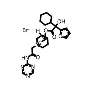 O=C(C[N+]12CCC(CC1)[C@@H](OC(=O)C(O)(c1ccco1)C1CCCCC1)C2)Nc1ncncn1.[Br-]